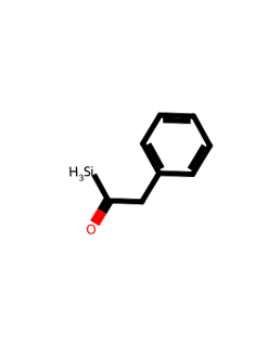 O=C([SiH3])Cc1ccccc1